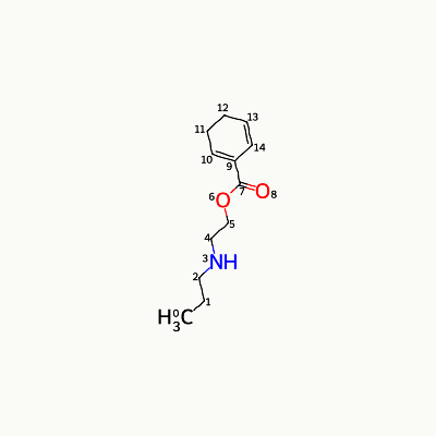 CCCNCCOC(=O)C1=CCCC=C1